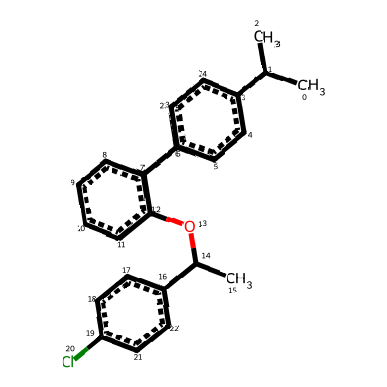 CC(C)c1ccc(-c2ccccc2OC(C)c2ccc(Cl)cc2)cc1